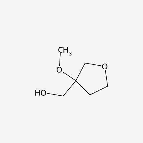 COC1(CO)CCOC1